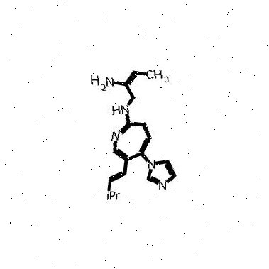 C/C=C(/N)CNC1=NC=C(/C=C/C(C)C)C(n2ccnc2)=CC1